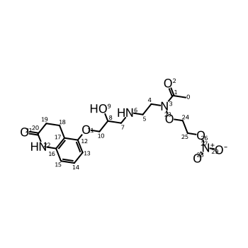 CC(=O)N(CCNCC(O)COc1cccc2c1CCC(=O)N2)OCCO[N+](=O)[O-]